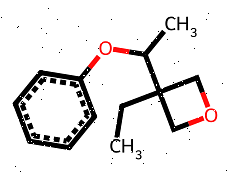 CCC1(C(C)Oc2ccccc2)COC1